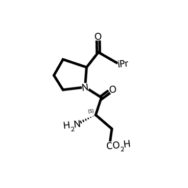 CC(C)C(=O)C1CCCN1C(=O)[C@@H](N)CC(=O)O